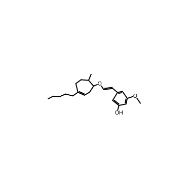 CCCCCC1=CCC(O/C=C/c2cc(O)cc(OC)c2)C(C)CC1